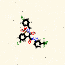 O=C(Nc1cccc(C(F)(F)F)c1)C1C(=O)N(Cc2ccc(F)cc2)S(=O)(=O)c2ccc(Cl)cc21